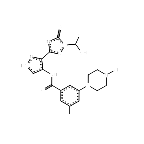 CC(C)n1nc(-c2n[nH]cc2NC(=O)c2cc(F)cc(N3CCN(C)CC3)c2)[nH]c1=O